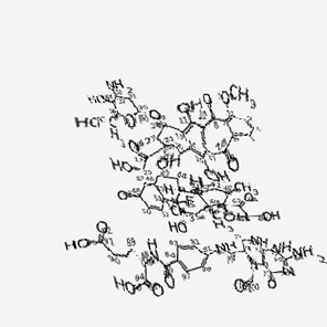 COc1cccc2c1C(=O)c1c(O)c3c(c(O)c1C2=O)C[C@@](O)(C(=O)CO)C[C@@H]3O[C@H]1C[C@H](N)[C@H](O)[C@H](C)O1.C[C@@H]1C[C@H]2[C@@H]3CCC4=CC(=O)C=C[C@]4(C)[C@@]3(F)[C@@H](O)C[C@]2(C)[C@@]1(O)C(=O)CO.Cl.Nc1nc(=O)c2c([nH]1)NCC(CNc1ccc(C(=O)N[C@@H](CCC(=O)O)C(=O)O)cc1)N2C=O